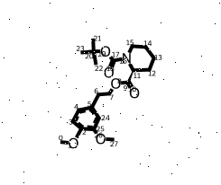 COc1ccc(CCOC(=O)[C@@H]2CCCCN2C(=O)OC(C)(C)C)cc1OC